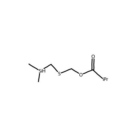 CC(C)C(=O)OCSC[SiH](C)C